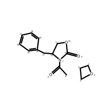 C1COC1.CC(=O)N1C(=O)OCC1Cc1ccccc1